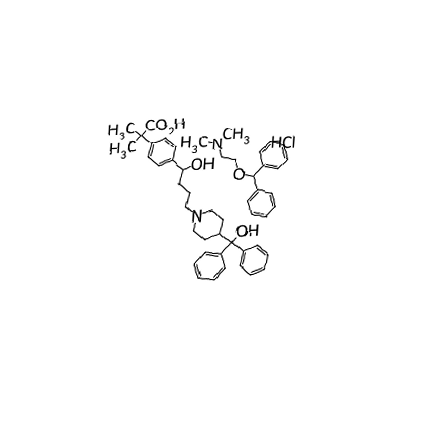 CC(C)(C(=O)O)c1ccc(C(O)CCCN2CCC(C(O)(c3ccccc3)c3ccccc3)CC2)cc1.CN(C)CCOC(c1ccccc1)c1ccccc1.Cl